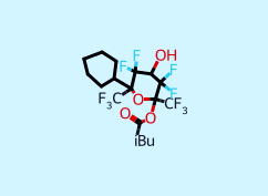 CCC(C)C(=O)OC1(C(F)(F)F)OC(C2CCCCC2)(C(F)(F)F)C(F)(F)C(O)C1(F)F